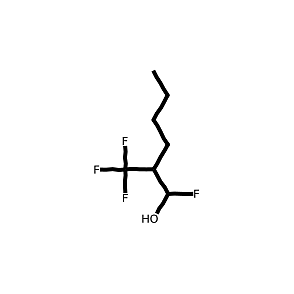 CCCCC(C(O)F)C(F)(F)F